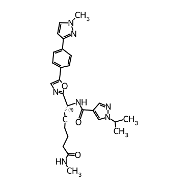 CNC(=O)CCCCC[C@@H](NC(=O)c1cnn(C(C)C)c1)c1ncc(-c2ccc(-c3ccn(C)n3)cc2)o1